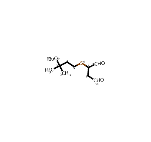 CC(C)COC(C)(C)CCSC(C=O)CC=O